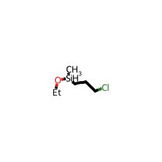 CCO[SiH](C)CCCCl